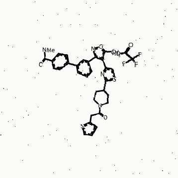 CNC(=O)c1ccc(-c2cccc(-c3noc(C)c3-c3csc(C4CCN(C(=O)Cc5cccs5)CC4)n3)c2)cc1.O=C(O)C(F)(F)F